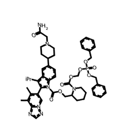 Cc1c(-c2c(C(C)C)c3cc(C4CCN(CC(N)=O)CC4)ccc3n2C(=O)OCC2CCCCN2C(=O)OCOP(=O)(OCc2ccccc2)OCc2ccccc2)cn2ncnc2c1C